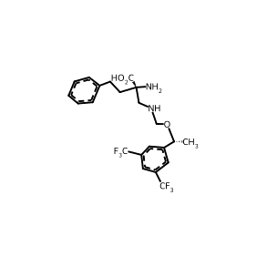 C[C@@H](OCNC[C@@](N)(CCc1ccccc1)C(=O)O)c1cc(C(F)(F)F)cc(C(F)(F)F)c1